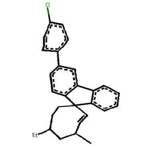 CCC1CCC2(/C=C/C(C)C1)c1ccccc1-c1cc(-c3ccc(Cl)cc3)ccc12